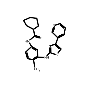 Cc1ccc(NC(=O)C2CCCCC2)cc1Nc1nc(-c2cccnc2)cs1